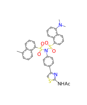 CC(=O)Nc1nc(-c2ccc(N(S(=O)(=O)c3cccc4c(C)cccc34)S(=O)(=O)c3cccc4c(N(C)C)cccc34)cc2)cs1